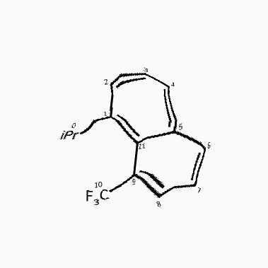 CC(C)c1cccc2cccc(C(F)(F)F)c12